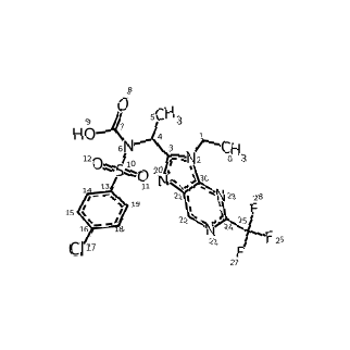 CCn1c(C(C)N(C(=O)O)S(=O)(=O)c2ccc(Cl)cc2)nc2cnc(C(F)(F)F)nc21